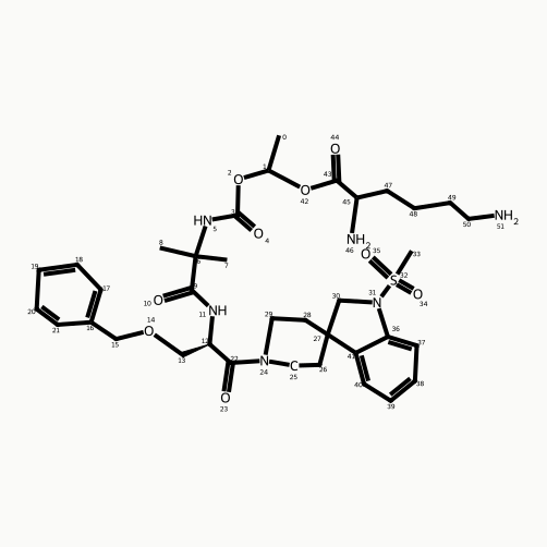 CC(OC(=O)NC(C)(C)C(=O)N[C@H](COCc1ccccc1)C(=O)N1CCC2(CC1)CN(S(C)(=O)=O)c1ccccc12)OC(=O)C(N)CCCCN